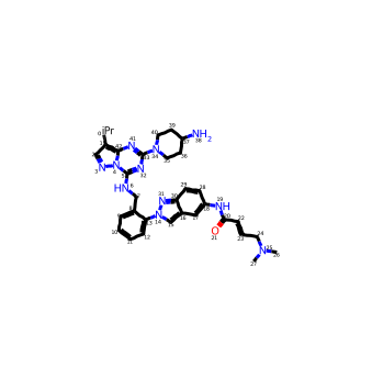 CC(C)c1cnn2c(NCc3ccccc3-n3cc4cc(NC(=O)/C=C/CN(C)C)ccc4n3)nc(N3CCC(N)CC3)nc12